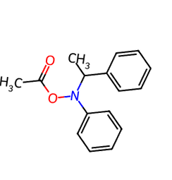 CC(=O)ON(c1ccccc1)C(C)c1ccccc1